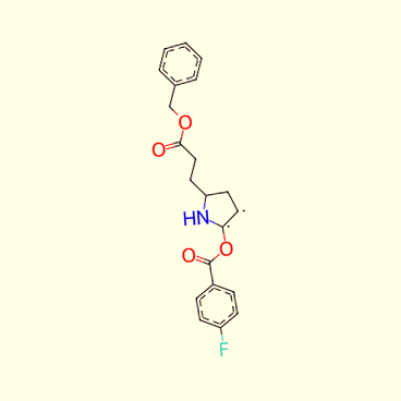 O=C(CCC1C[CH][C](OC(=O)c2ccc(F)cc2)N1)OCc1ccccc1